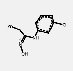 CC(C)C/C(=N/O)Nc1cccc(Cl)c1